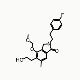 COCOc1c(CCO)c(C)cc2c1CN(CCc1ccc(F)cc1)C2=O